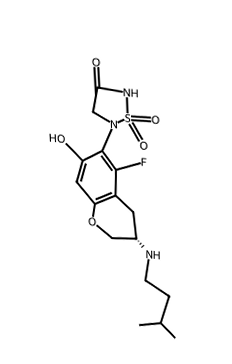 CC(C)CCN[C@@H]1COc2cc(O)c(N3CC(=O)NS3(=O)=O)c(F)c2C1